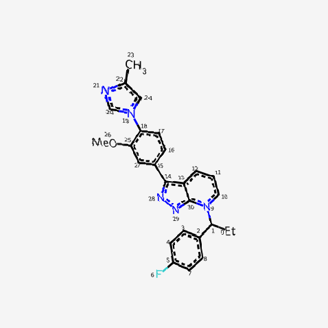 CCC(c1ccc(F)cc1)n1cccc2c(-c3ccc(-n4cnc(C)c4)c(OC)c3)nnc1-2